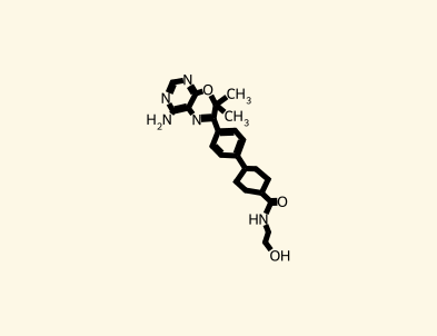 CC1(C)Oc2ncnc(N)c2N=C1c1ccc(C2CCC(C(=O)NCCO)CC2)cc1